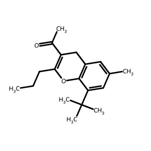 CCCC1=C(C(C)=O)Cc2cc(C)cc(C(C)(C)C)c2O1